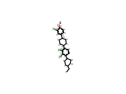 CCC1CCC(c2ccc(C3CCC(c4ccc(OC)c(F)c4)CC3)c(F)c2F)CC1